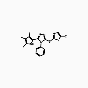 Cc1[nH]c(-c2nnc(Sc3ncc(Cl)s3)n2-c2ccccc2)c(C)c1C